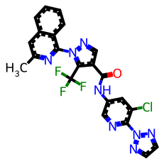 Cc1cc2ccccc2c(-n2ncc(C(=O)Nc3cnc(-n4nccn4)c(Cl)c3)c2C(F)(F)F)n1